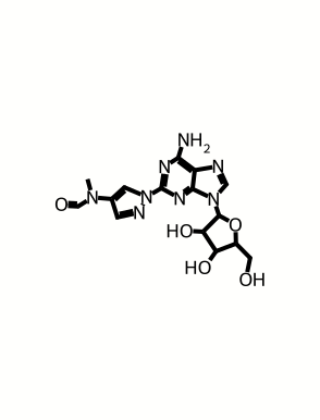 CN(C=O)c1cnn(-c2nc(N)c3ncn(C4OC(CO)C(O)C4O)c3n2)c1